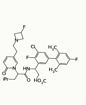 Cc1cc(F)cc(C)c1-c1cc(Cl)c(F)c(C(CC(=O)O)NC(=O)C(CC(C)C)n2cc(CCN3CC(F)C3)ccc2=O)c1